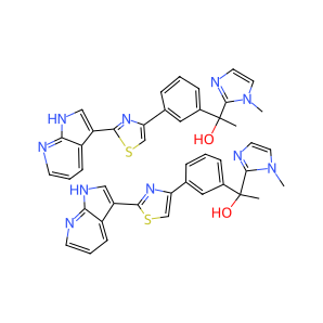 Cn1ccnc1C(C)(O)c1cccc(-c2csc(-c3c[nH]c4ncccc34)n2)c1.Cn1ccnc1C(C)(O)c1cccc(-c2csc(-c3c[nH]c4ncccc34)n2)c1